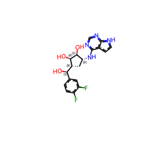 O[C@@H]1[C@H](O)[C@@H]([C@H](O)c2ccc(F)c(F)c2)C[C@H]1Nc1ncnc2[nH]ccc12